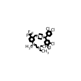 CCN(CC)CCN(C)c1ccc(C(F)(F)F)c(CN2CCN(C(c3ccc(Cl)c(Cl)c3)c3ccc(Cl)c(Cl)c3)CC2)c1